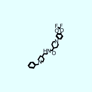 O=C(NCCC1CCN(Cc2ccccc2)CC1)C1CCN(c2ccc3c(c2)OC(F)(F)O3)CC1